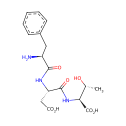 C[C@@H](O)[C@H](NC(=O)[C@H](CC(=O)O)NC(=O)[C@@H](N)Cc1ccccc1)C(=O)O